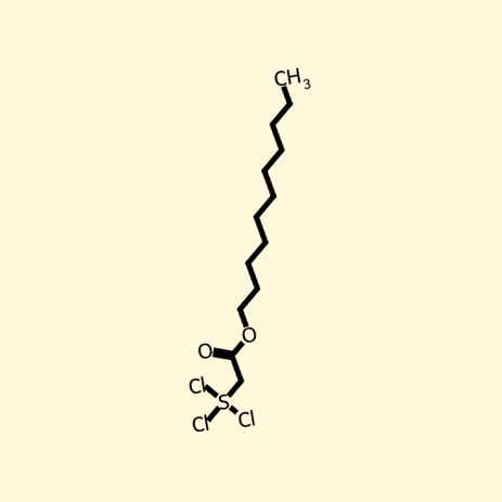 CCCCCCCCCCCOC(=O)CS(Cl)(Cl)Cl